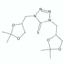 CC1(C)OCC(Cn2nnn(CC3COC(C)(C)O3)c2=S)O1